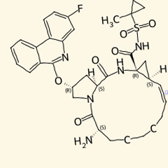 CC1(S(=O)(=O)NC(=O)[C@@]23C[C@H]2/C=C\CCCCC[C@H](N)C(=O)N2C[C@H](Oc4nc5cc(F)ccc5c5ccccc45)C[C@H]2C(=O)N3)CC1